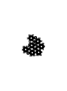 c1ccc(-c2nc3c(N4c5ccccc5Oc5ccccc54)cnc(N4c5ccccc5Oc5ccccc54)c3nc2-c2ccccc2)cc1